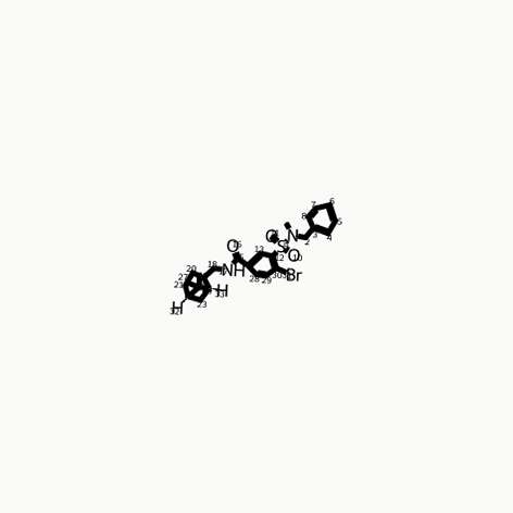 CN(Cc1ccccc1)S(=O)(=O)c1cc(C(=O)NCC2CC[C@@H]3C[C@H]2C3(C)C)ccc1Br